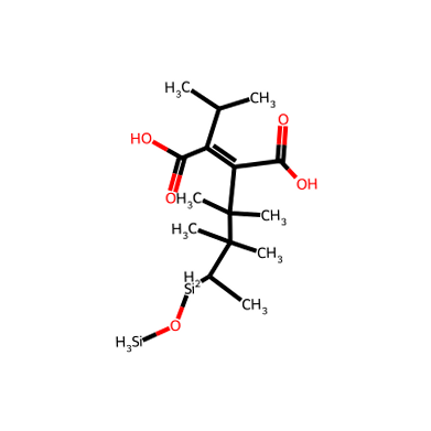 CC(C)/C(C(=O)O)=C(\C(=O)O)C(C)(C)C(C)(C)C(C)[SiH2]O[SiH3]